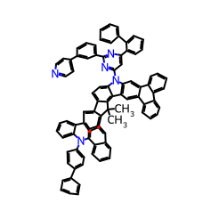 CC1(C)c2ccc(-c3ccccc3N(c3ccc(-c4ccccc4)cc3)c3cccc4ccccc34)cc2-c2ccc3c(c21)c1cc2c4ccccc4c4ccccc4c2cc1n3-c1cc(-c2ccccc2-c2ccccc2)nc(-c2cccc(-c3ccncc3)c2)n1